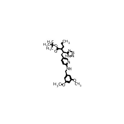 C=CCC(C(=O)OC(C)(C)C)[C@H](Cc1ccc(NCc2cc(OC)cc(OC)c2)nc1)c1nnn[nH]1